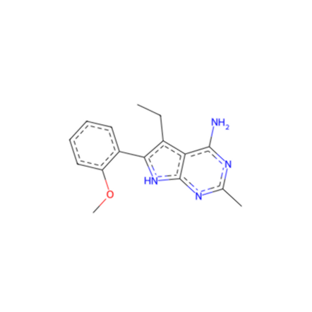 CCc1c(-c2ccccc2OC)[nH]c2nc(C)nc(N)c12